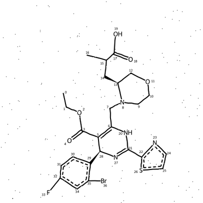 CCOC(=O)C1=C(CN2CCOC[C@@H]2CC(C)C(=O)O)NC(c2nccs2)=N[C@H]1c1ccc(F)cc1Br